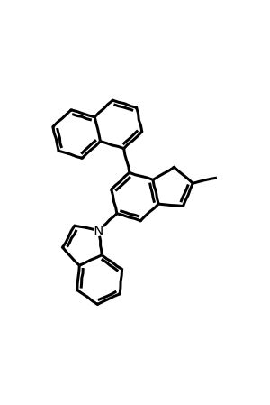 CC1=Cc2cc(-n3ccc4ccccc43)cc(-c3cccc4ccccc34)c2C1